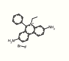 CC[n+]1c(-c2ccccc2)c2cc(N)ccc2c2ccc(N)cc21.FBr